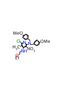 [CH2]COCCNc1c(C)c(Cl)nc(N(Cc2ccc(OC)cc2)Cc2ccc(OC)cc2)c1[N+](=O)[O-]